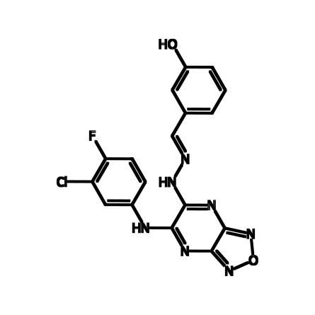 Oc1cccc(C=NNc2nc3nonc3nc2Nc2ccc(F)c(Cl)c2)c1